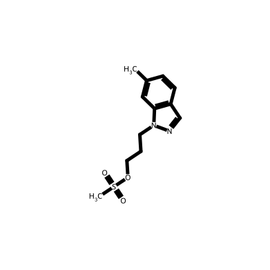 Cc1ccc2cnn(CCCOS(C)(=O)=O)c2c1